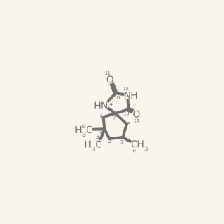 CC1CC(C)(C)CC2(C1)NC(=O)NC2=O